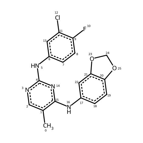 Cc1cnc(Nc2ccc(F)c(Cl)c2)nc1Nc1ccc2c(c1)OCO2